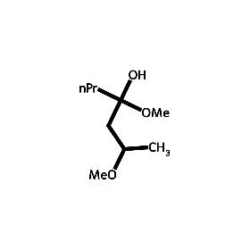 CCCC(O)(CC(C)OC)OC